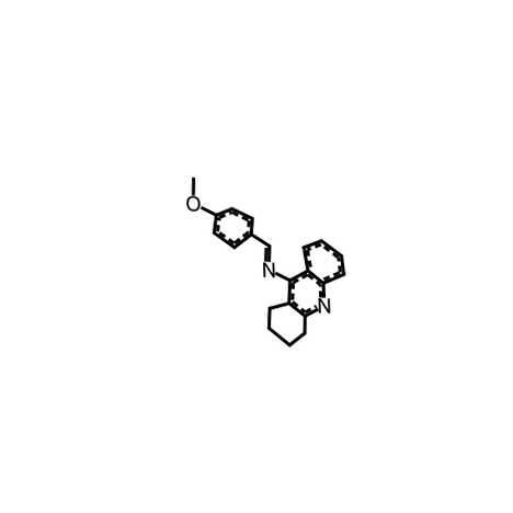 COc1ccc(C=Nc2c3c(nc4ccccc24)CCCC3)cc1